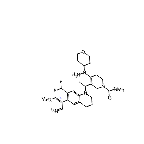 CN/C=C(\C=N)c1cc2c(cc1C(F)F)N(C(C)C1=C(N(N)C3CCOCC3)CCN(C(=O)NC)C1)CCC2